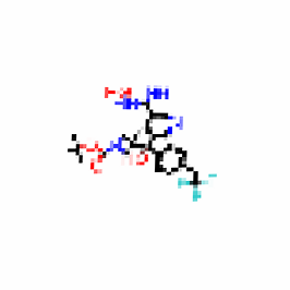 CC(C)(C)OC(=O)N1CC(C)([C@](O)(c2ccc(CC(F)(F)F)cc2)c2cncc(C(=N)NO)c2)C1